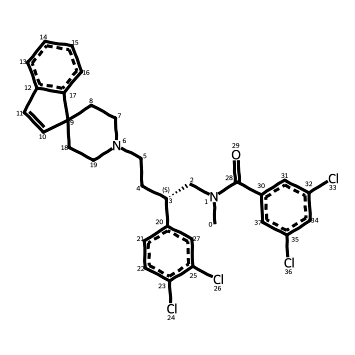 CN(C[C@@H](CCN1CCC2(C=Cc3ccccc32)CC1)c1ccc(Cl)c(Cl)c1)C(=O)c1cc(Cl)cc(Cl)c1